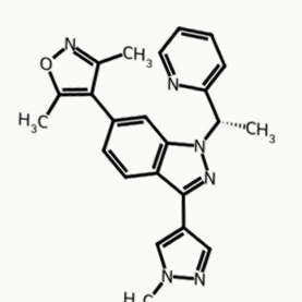 Cc1noc(C)c1-c1ccc2c(-c3cnn(C)c3)nn([C@@H](C)c3ccccn3)c2c1